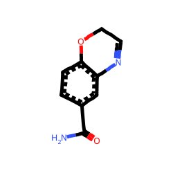 NC(=O)c1ccc2c(c1)N=CCO2